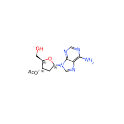 CC(=O)O[C@H]1C[C@H](n2cnc3c(N)ncnc32)O[C@@H]1CO